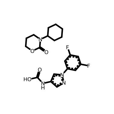 O=C(O)Nc1cnn(-c2cc(F)cc(F)c2)c1.O=C1OCCCN1C1CCCCC1